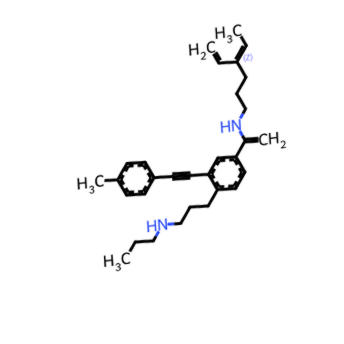 C=C/C(=C\C)CCCNC(=C)c1ccc(CCCNCCC)c(C#Cc2ccc(C)cc2)c1